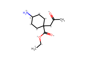 CCOC(=O)C1(CC(C)=O)CCC(N)CC1